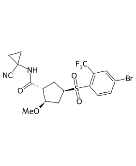 CO[C@@H]1C[C@H](S(=O)(=O)c2ccc(Br)cc2C(F)(F)F)C[C@H]1C(=O)NC1(C#N)CC1